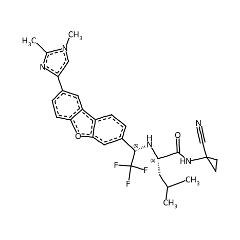 Cc1nc(-c2ccc3oc4cc([C@H](N[C@@H](CC(C)C)C(=O)NC5(C#N)CC5)C(F)(F)F)ccc4c3c2)cn1C